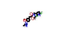 COc1cc(C=C2O[C@@H](C)CN([C@@H](C)c3ccc(F)nc3F)C2=O)ccc1-n1cnc(C)c1